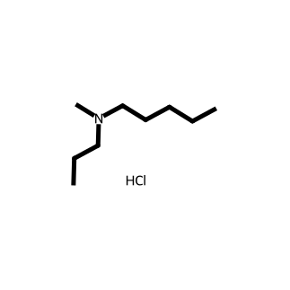 CCCCCN(C)CCC.Cl